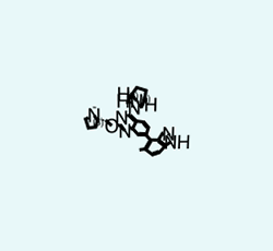 Cc1ccc2[nH]ncc2c1-c1ccc2c(N3C[C@H]4CC[C@@H](C3)N4)nc(OC[C@@H]3CCCN3C)nc2c1